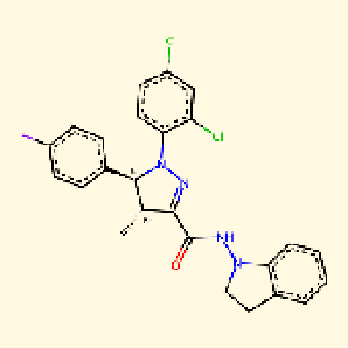 C[C@H]1C(C(=O)NN2CCc3ccccc32)=NN(c2ccc(Cl)cc2Cl)[C@@H]1c1ccc(I)cc1